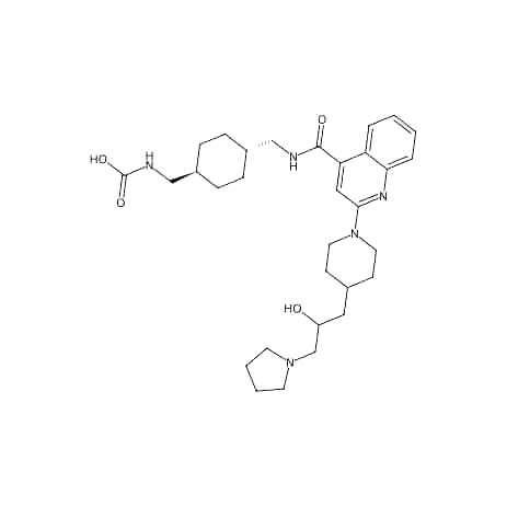 O=C(O)NC[C@H]1CC[C@H](CNC(=O)c2cc(N3CCC(CC(O)CN4CCCC4)CC3)nc3ccccc23)CC1